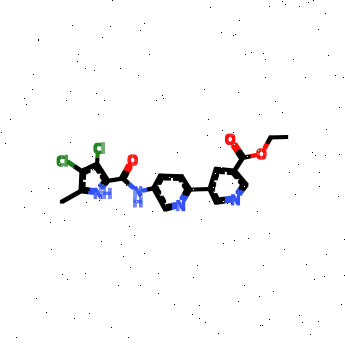 CCOC(=O)c1cncc(-c2ccc(NC(=O)c3[nH]c(C)c(Cl)c3Cl)cn2)c1